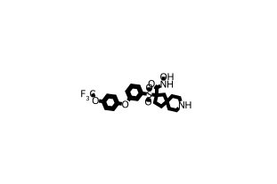 O=C(NO)C1(S(=O)(=O)c2cccc(Oc3ccc(OC(F)(F)F)cc3)c2)CCC2(CCNCC2)C1